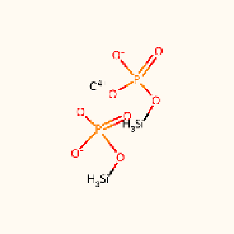 O=P([O-])([O-])O[SiH3].O=P([O-])([O-])O[SiH3].[C+4]